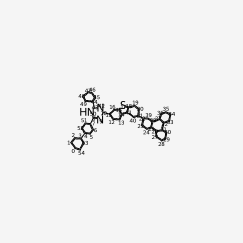 c1ccc(-c2ccc(C3=NC(c4ccc5c(c4)sc4ccc(-c6ccc7c8ccccc8c8ccccc8c7c6)cc45)=NC(c4ccccc4)N3)cc2)cc1